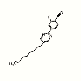 CCCCCCCCc1cnc(-c2ccc(C#N)c(F)c2)nc1